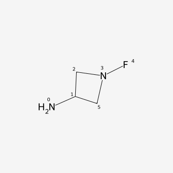 NC1CN(F)C1